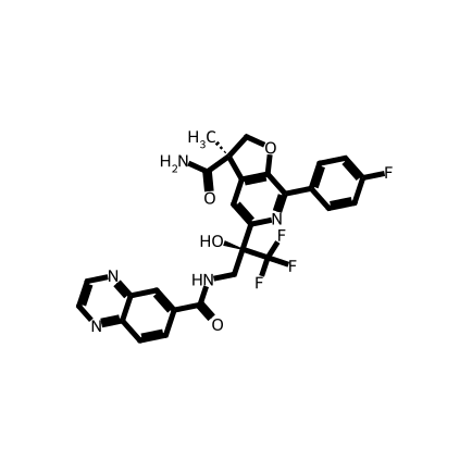 C[C@]1(C(N)=O)COc2c1cc([C@@](O)(CNC(=O)c1ccc3nccnc3c1)C(F)(F)F)nc2-c1ccc(F)cc1